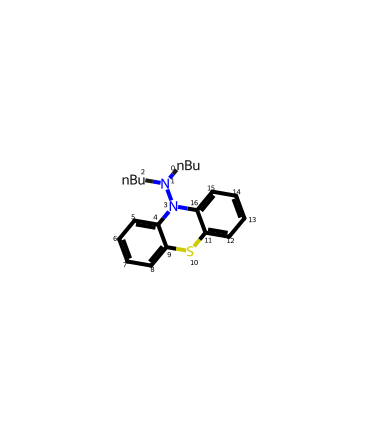 CCCCN(CCCC)N1c2ccccc2Sc2ccccc21